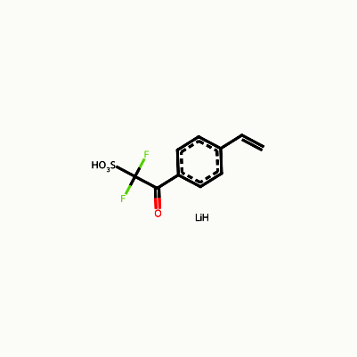 C=Cc1ccc(C(=O)C(F)(F)S(=O)(=O)O)cc1.[LiH]